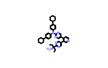 CCC(N)(CC)c1ncc(-c2cnccc2-c2cnc(N(c3ccc(C4CCCCC4)cc3)c3ccc(C4CCCCC4)cc3)nc2)cn1